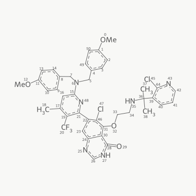 COc1ccc(CN(Cc2ccc(OC)cc2)c2cc(C)c(C(F)(F)F)c(-c3cc4nc[nH]c(=O)c4c(OCCNC(C)(C)c4cccnc4Cl)c3Cl)n2)cc1